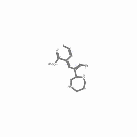 C\C=C/C(=C\C(=C\CC)C1CNCCCO1)C(=O)OC